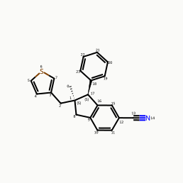 C[C@@]1(Cc2ccsc2)Cc2ccc(C#N)cc2[C@@H]1c1ccccc1